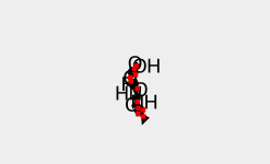 O=C(NCCNC(=O)c1ccc(O[C@H]2CC[C@@H](C(=O)O)CC2)c(F)c1)c1ccc(C2CC2)cc1